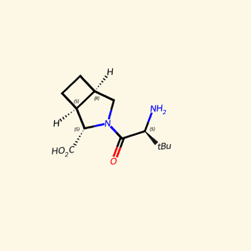 CC(C)(C)[C@H](N)C(=O)N1C[C@@H]2CC[C@@H]2[C@H]1C(=O)O